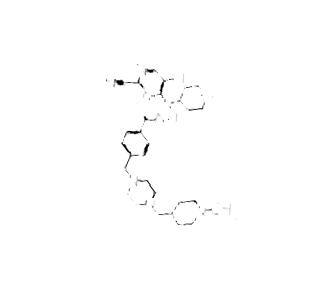 CN1CCC(CN2CCN(Cc3ccc(C(=O)NN(c4nc(C#N)ncc4Cl)C4CCOCC4)cc3)CC2)CC1